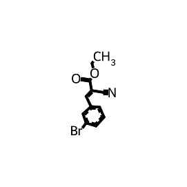 CCOC(=O)/C(C#N)=C/c1cccc(Br)c1